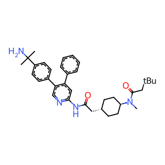 CN(C(=O)CC(C)(C)C)[C@H]1CC[C@H](CC(=O)Nc2cc(-c3ccccc3)c(-c3ccc(C(C)(C)N)cc3)cn2)CC1